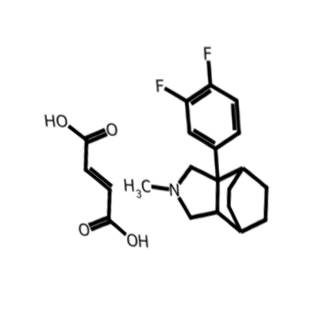 CN1CC2C3CCC(CC3)C2(c2ccc(F)c(F)c2)C1.O=C(O)C=CC(=O)O